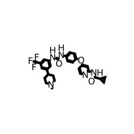 CN1CCC(c2cc(NC(=O)Nc3ccc(Oc4ccnc(NC(=O)C5CC5)c4)cc3)cc(C(F)(F)F)c2)CC1